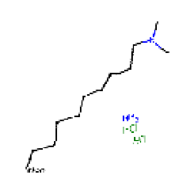 CCCCCCCCCCCCCCCCCCN(C)C.Cl.Cl.N